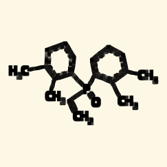 C=CP(=O)(c1cccc(C)c1C)c1cccc(C)c1C